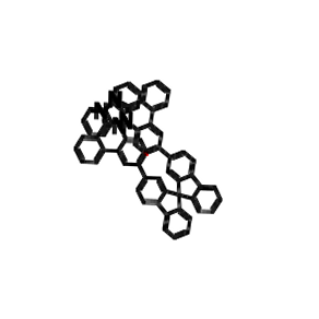 c1ccc2c(c1)-c1ccc(-c3ccc4c(c3)c3ccccc3c3nc5ccccc5n43)cc1C21c2ccccc2-c2ccc(-c3ccc4c(c3)c3ccccc3c3nc5ccccc5n43)cc21